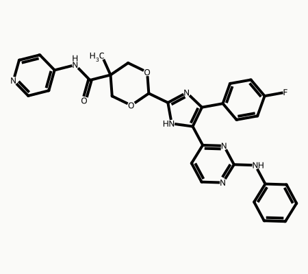 CC1(C(=O)Nc2ccncc2)COC(c2nc(-c3ccc(F)cc3)c(-c3ccnc(Nc4ccccc4)n3)[nH]2)OC1